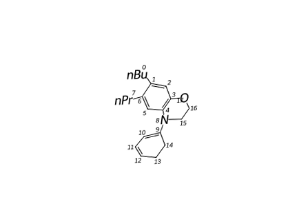 CCCCc1cc2c(cc1CCC)N(C1=CC=CCC1)CCO2